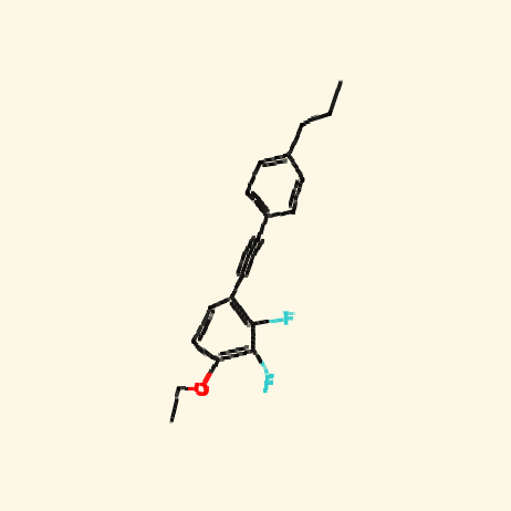 CCCc1ccc(C#Cc2ccc(OCC)c(F)c2F)cc1